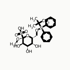 CO[C@]1(S(=O)(=O)O)O[C@H](CO[Si](c2ccccc2)(c2ccccc2)C(C)(C)C)[C@H](O)[C@H](O)[C@H]1O